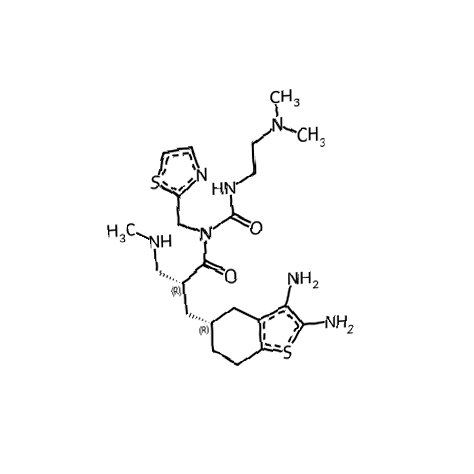 CNC[C@@H](C[C@H]1CCc2sc(N)c(N)c2C1)C(=O)N(Cc1nccs1)C(=O)NCCN(C)C